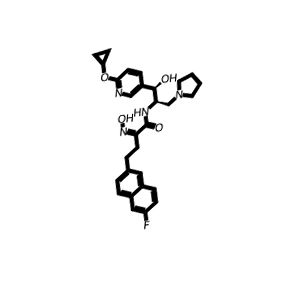 O=C(N[C@H](CN1CCCC1)[C@H](O)c1ccc(OC2CC2)nc1)C(CCc1ccc2cc(F)ccc2c1)=NO